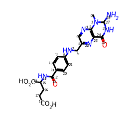 CN1c2ncc(CNc3ccc(C(=O)NC(CCC(=O)O)C(=O)O)cc3)nc2C(=O)NC1N